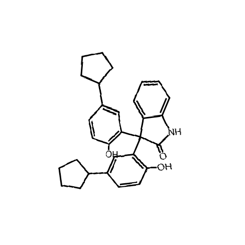 O=C1Nc2ccccc2C1(c1cc(C2CCCC2)ccc1O)c1cc(C2CCCC2)ccc1O